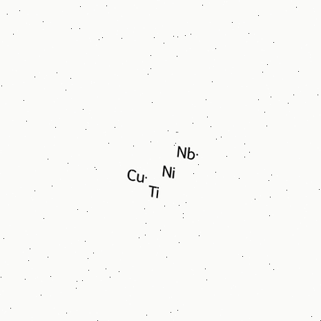 [Cu].[Nb].[Ni].[Ti]